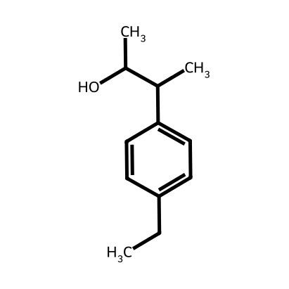 CCc1ccc(C(C)C(C)O)cc1